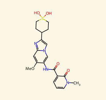 COc1cc2nc(C3CCS(O)(O)CC3)cn2cc1NC(=O)c1cccn(C)c1=O